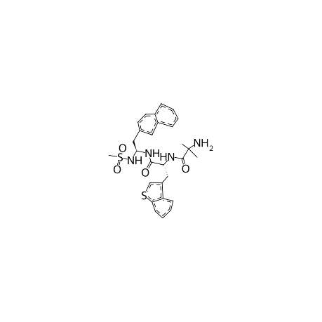 CC(C)(N)C(=O)N[C@H](Cc1csc2ccccc12)C(=O)N[C@H](Cc1ccc2ccccc2c1)NS(C)(=O)=O